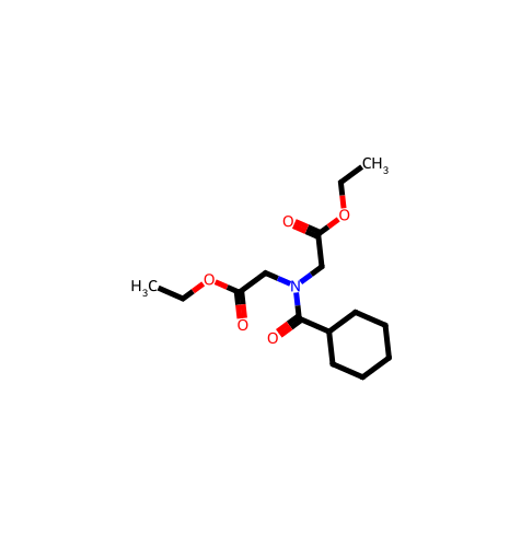 CCOC(=O)CN(CC(=O)OCC)C(=O)C1CCCCC1